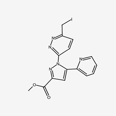 COC(=O)c1cc(-c2ccccn2)n(-c2ccc(CI)nn2)n1